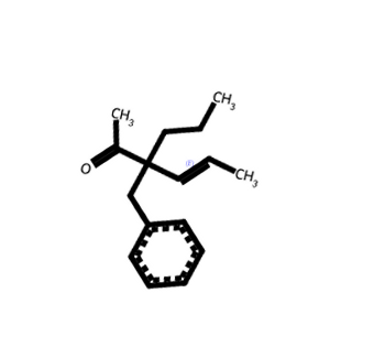 C/C=C/C(CCC)(Cc1ccccc1)C(C)=O